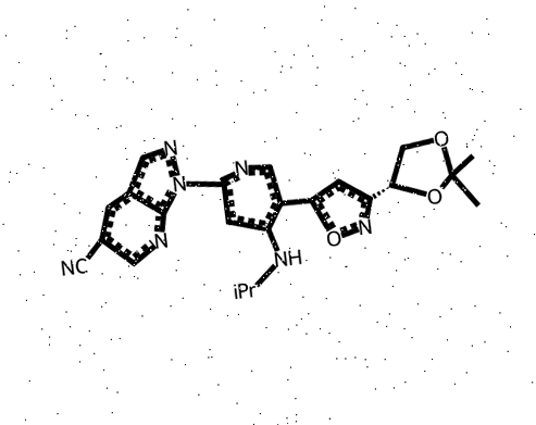 CC(C)Nc1cc(-n2ncc3cc(C#N)cnc32)ncc1-c1cc([C@@H]2COC(C)(C)O2)no1